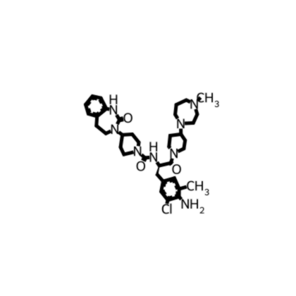 Cc1cc(C[C@@H](NC(=O)N2CCC(N3CCc4ccccc4NC3=O)CC2)C(=O)N2CCC(N3CCCN(C)CC3)CC2)cc(Cl)c1N